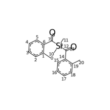 Cc1ccccc1C(=O)[Si](C)(C)C(=O)c1ccccc1C